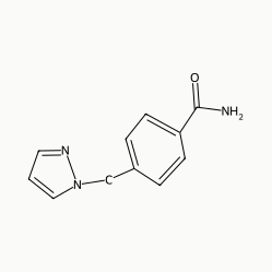 NC(=O)c1ccc(Cn2cccn2)cc1